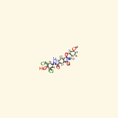 COc1ccc(C(C)N2C(=O)c3ccc(C(=O)Nc4cc(Cl)c(O)c(Cl)c4)cc3C2=O)cc1